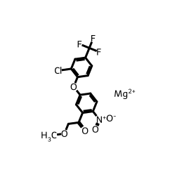 COCC(=O)c1cc(Oc2ccc(C(F)(F)F)cc2Cl)ccc1[N+](=O)[O-].[Mg+2]